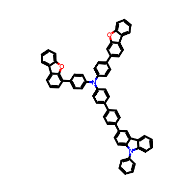 c1ccc(-n2c3ccccc3c3cc(-c4ccc(-c5ccc(N(c6ccc(-c7ccc8c(c7)oc7ccccc78)cc6)c6ccc(-c7cccc8c7oc7ccccc78)cc6)cc5)cc4)ccc32)cc1